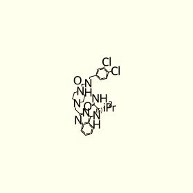 CC(C)[C@H](Nc1nc(CN2CCN(C(=O)NCc3ccc(Cl)c(Cl)c3)CC2)nc2ccccc12)C(N)=O